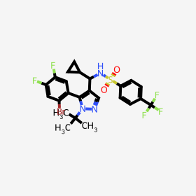 CC(C)(C)n1ncc(C(NS(=O)(=O)c2ccc(C(F)(F)F)cc2)C2CC2)c1-c1cc(F)c(F)cc1Br